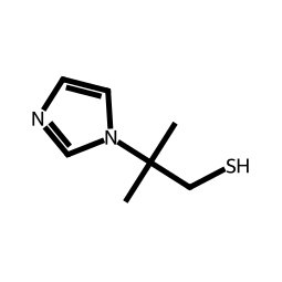 CC(C)(CS)n1ccnc1